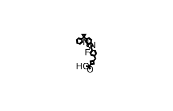 O=C(O)C1CC(Cc2ccc(-c3nc4ccc(C5(c6ccccc6)CC5)nc4s3)c(F)c2)C1